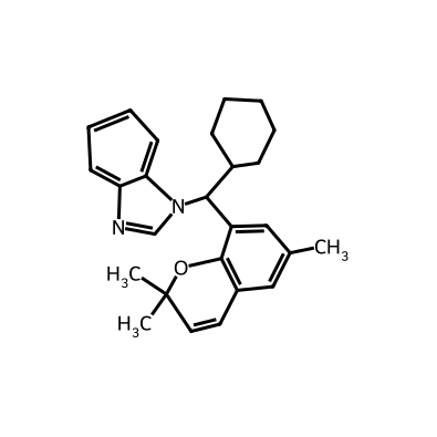 Cc1cc2c(c(C(C3CCCCC3)n3cnc4ccccc43)c1)OC(C)(C)C=C2